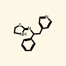 c1ccc(C(Cc2ccncc2)/N=C2\NCCS2)cc1